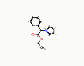 CCOC(=O)C(c1ccccc1)n1cccc1